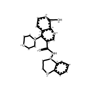 O=C(NN1CCOc2ccccc21)c1cnc2c(O)nccc2c1N1CCOCC1